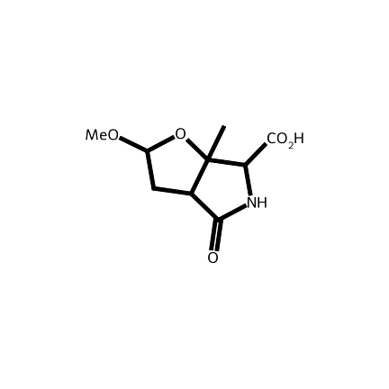 COC1CC2C(=O)NC(C(=O)O)C2(C)O1